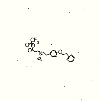 O=C(CCN(CCc1ccc(OCCc2ccccc2)cc1)C1CC1)OC(=O)C(F)(F)F